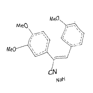 COc1[c]ccc(C=C(C#N)c2ccc(OC)c(OC)c2)c1.[NaH]